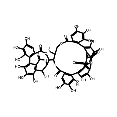 O=C1OC(C2OC(=O)c3cc(O)c(O)c(O)c3-c3c(O)c(O)c4oc(=O)c5c(c(O)c(O)c6oc(=O)c3c4c65)-c3c(cc(O)c(O)c3O)C(=O)OCC2O)C2OC(=O)c3c(c(O)c(O)c(O)c3C2O)-c2c1cc(O)c(O)c2O